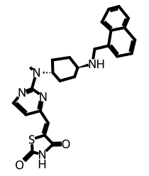 CN(c1nccc(/C=C2\SC(=O)NC2=O)n1)[C@H]1CC[C@H](NCc2cccc3ccccc23)CC1